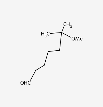 COC(C)(C)CCCCC=O